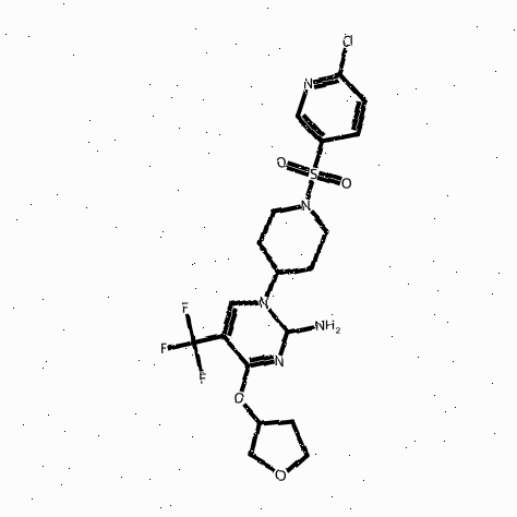 NC1N=C(OC2CCOC2)C(C(F)(F)F)=CN1C1CCN(S(=O)(=O)c2ccc(Cl)nc2)CC1